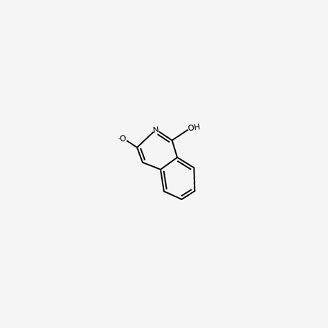 [O]c1cc2ccccc2c(O)n1